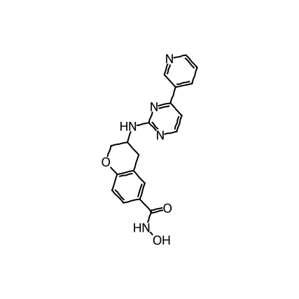 O=C(NO)c1ccc2c(c1)CC(Nc1nccc(-c3cccnc3)n1)CO2